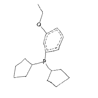 CCOc1cccc(P(C2CCCC2)C2CCCC2)c1